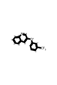 FC(F)(F)c1cccc(Oc2cnc3ccccc3c2)c1